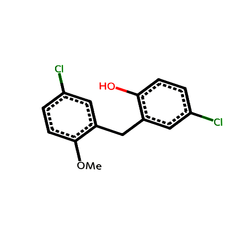 COc1ccc(Cl)cc1Cc1cc(Cl)ccc1O